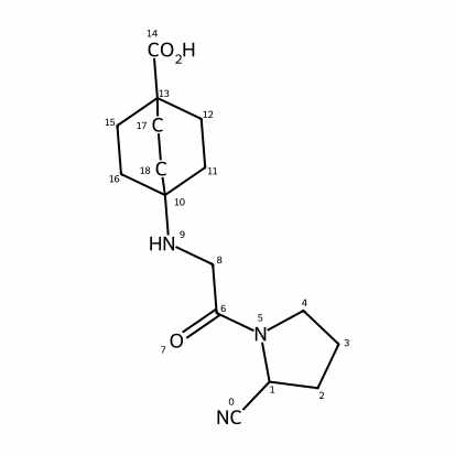 N#CC1CCCN1C(=O)CNC12CCC(C(=O)O)(CC1)CC2